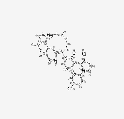 CC1=CNc2cnn(C(F)F)c2-c2ccnc(c2)[C@@H](n2cnc(-c3cc(Cl)ccc3-n3cc(Cl)nn3)cc2=O)CCC1